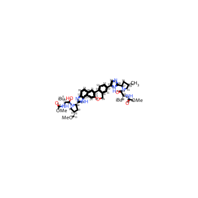 CC[C@H](C)C(NC(=O)OC)C(O)N1C[C@@H](COC)C[C@H]1c1nc2ccc3cc4c(cc3c2[nH]1)OCc1cc(-c2cnc(C3C[C@H](C)CN3C(=O)[C@@H](NC(=O)OC)[C@@H](C)CC)[nH]2)ccc1-4